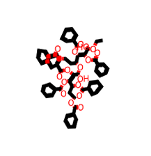 CCOC(O)/C(OC(=O)c1ccccc1)=C(\OC(=O)c1ccccc1)C(CCOC(=O)c1ccccc1)OC(O)/C(OC(=O)c1ccccc1)=C(/OC(=O)c1ccccc1)C(CCOC(=O)c1ccccc1)OC(=O)c1ccccc1